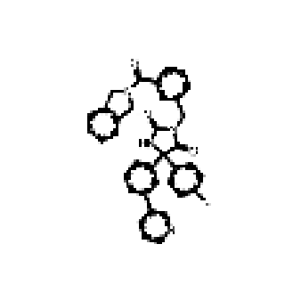 N=C1NC(c2ccc(F)cc2)(c2cccc(-c3cccnc3)c2)C(=O)N1Cc1cccc(C(=O)N2Cc3ccccc3C2)c1